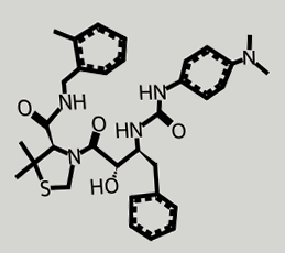 Cc1ccccc1CNC(=O)[C@H]1N(C(=O)[C@@H](O)[C@H](Cc2ccccc2)NC(=O)Nc2ccc(N(C)C)cc2)CSC1(C)C